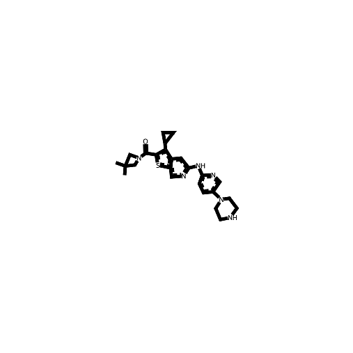 CC1(C)CN(C(=O)c2sc3cnc(Nc4ccc(N5CCNCC5)cn4)cc3c2C2CC2)C1